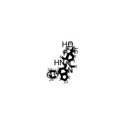 Cc1nc(NC(C)c2cccc(C(F)(F)CO)c2F)c2cc(N3CCOCC3)c3c(c2n1)CCC3